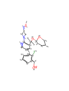 CON=C1CN(c2ncc(-c3cccc(CO)c3F)cc2C(C)(C)OC2CCCCO2)C1